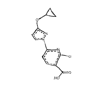 O=C(O)c1ccc(-n2ccc(OC3CC3)n2)nc1Cl